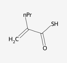 C=C(CCC)C(=O)S